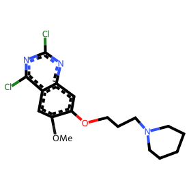 COc1cc2c(Cl)nc(Cl)nc2cc1OCCCN1CCCCC1